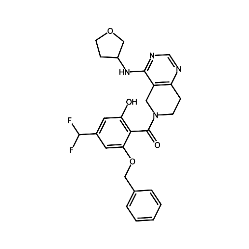 O=C(c1c(O)cc(C(F)F)cc1OCc1ccccc1)N1CCc2ncnc(NC3CCOC3)c2C1